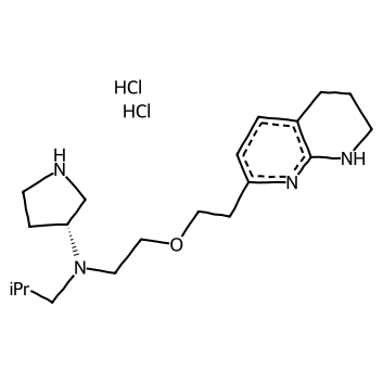 CC(C)CN(CCOCCc1ccc2c(n1)NCCC2)[C@@H]1CCNC1.Cl.Cl